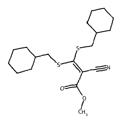 COC(=O)C(C#N)=C(SCC1CCCCC1)SCC1CCCCC1